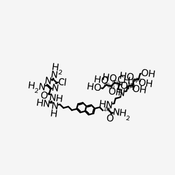 C[C@](O)(CN(CCCN[C@@H](CCc1ccc2cc(CCCCNC(=N)NC(=O)c3nc(Cl)c(N)nc3N)ccc2c1)C(N)=O)CC[C@@H](O)[C@H](O)[C@H](O)CO)[C@@H](O)[C@H](O)[C@H](O)CO